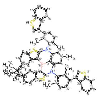 Cc1cc2c3c(c1)N(c1c(C)ccc(-c4csc5ccccc45)c1C)c1sc4ccc(C(C)(C)C)cc4c1B3c1c(sc3ccc(C(C)(C)C)cc13)N2c1c(C)ccc(-c2csc3ccccc23)c1C